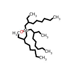 CCCCCCC(CC)[CH2][Sb](=[O])([CH2]C(CC)CCCCCC)[CH2]C(CC)CCCCCC